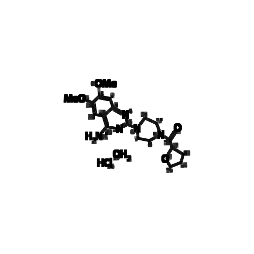 COc1cc2nc(N3CCN(C(=O)C4CCCO4)CC3)nc(N)c2cc1OC.Cl.O